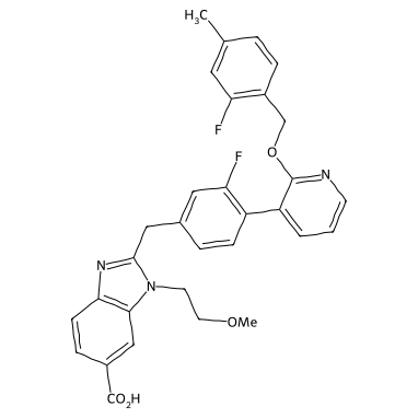 COCCn1c(Cc2ccc(-c3cccnc3OCc3ccc(C)cc3F)c(F)c2)nc2ccc(C(=O)O)cc21